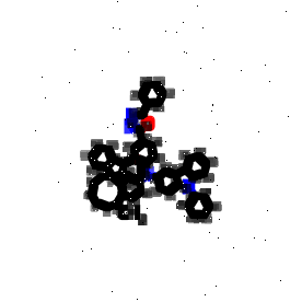 C=C1/C=C\C=C/CC2(c3cc(N(c4ccc(-c5nnc(-c6ccccc6)o5)cc4)c4ccc5c(c4)c4ccccc4n5-c4ccccc4)ccc31)c1ccccc1-c1ccccc12